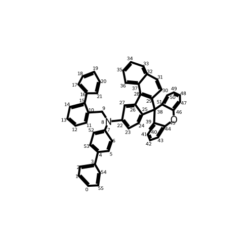 c1ccc(-c2ccc(N(Cc3ccccc3-c3ccccc3)c3ccc4c(c3)-c3c(ccc5ccccc35)C43c4ccccc4Oc4ccccc43)cc2)cc1